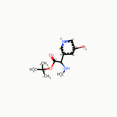 CNC(C(=O)OC(C)(C)C)c1cncc(Br)c1